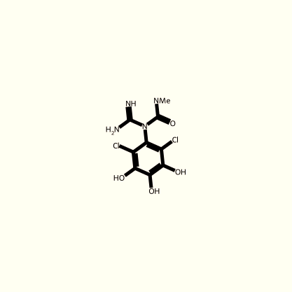 CNC(=O)N(C(=N)N)c1c(Cl)c(O)c(O)c(O)c1Cl